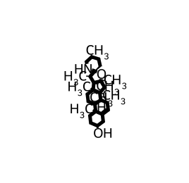 C[C@@H]1CC[C@@]2(NC1)O[C@@]1(C)C[C@@]3(C)[C@@H]4CC=C5C[C@@H](O)CC[C@]5(C)[C@@]4(C)CC[C@]3(C)[C@@]1(C)[C@@H]2C